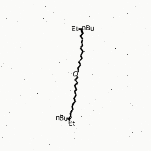 CCCCC(=CCCCCCCCCCCCCOCCCCCCCCCCCCC=C(CC)CCCC)CC